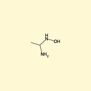 CC(N)NO